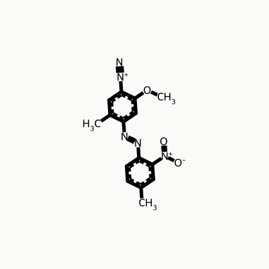 COc1cc(N=Nc2ccc(C)cc2[N+](=O)[O-])c(C)cc1[N+]#N